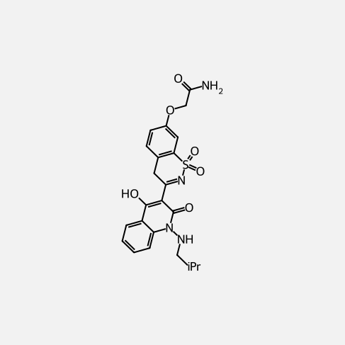 CC(C)CNn1c(=O)c(C2=NS(=O)(=O)c3cc(OCC(N)=O)ccc3C2)c(O)c2ccccc21